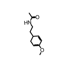 COC1=CCC(CCNC(C)=O)C=C1